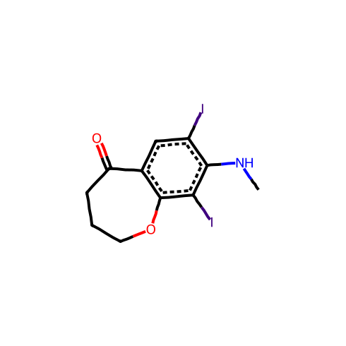 CNc1c(I)cc2c(c1I)OCCCC2=O